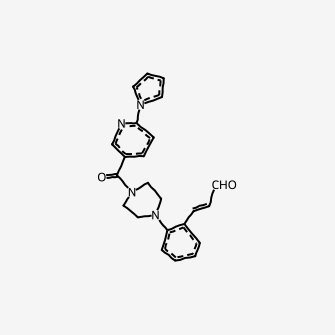 O=C/C=C/c1ccccc1N1CCN(C(=O)c2ccc(-n3cccc3)nc2)CC1